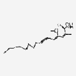 CCCCCCCCC=CC=C(C=C(C)C(=O)O)OC